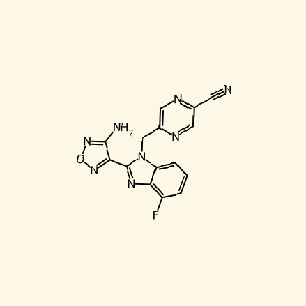 N#Cc1cnc(Cn2c(-c3nonc3N)nc3c(F)cccc32)cn1